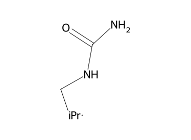 C[C](C)CNC(N)=O